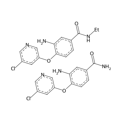 CCNC(=O)c1ccc(Oc2cncc(Cl)c2)c(N)c1.NC(=O)c1ccc(Oc2cncc(Cl)c2)c(N)c1